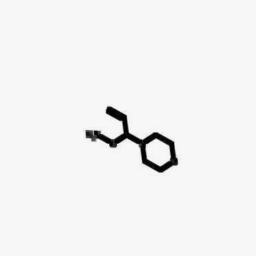 C=CC(ON)N1CCOCC1